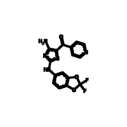 Nc1nc(Nc2ccc3c(c2)OC(F)(F)O3)sc1C(=O)c1ccncc1